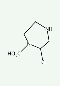 O=C(O)N1CCNCC1Cl